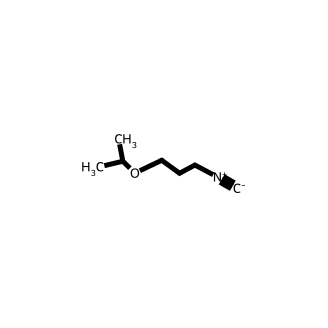 [C-]#[N+]CCCOC(C)C